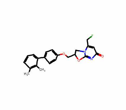 Cc1cccc(-c2ccc(OCC3Cn4c(CF)cc(=O)nc4O3)cc2)c1C